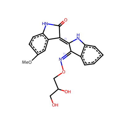 COc1ccc2c(c1)/C(=C1/Nc3ccccc3/C1=N\OCC(O)CO)C(=O)N2